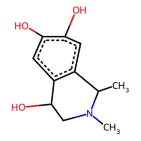 CC1c2cc(O)c(O)cc2C(O)CN1C